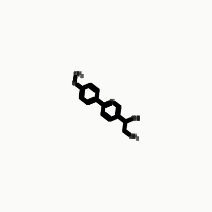 CCC(O)c1ccc(-c2ccc(OC)cc2)nc1